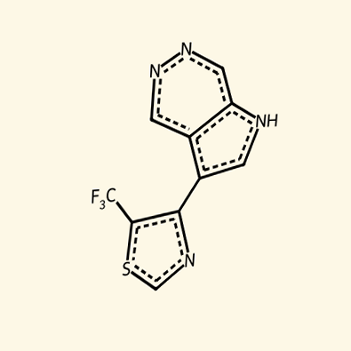 FC(F)(F)c1scnc1-c1c[nH]c2cnncc12